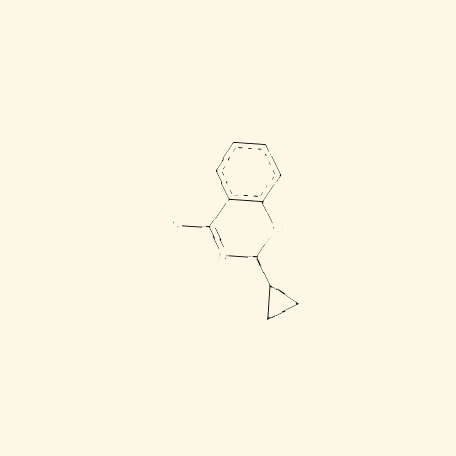 NC1=NC(C2CC2)Nc2ccccc21